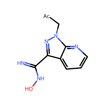 CC(=O)Cn1nc(C(=N)NO)c2cccnc21